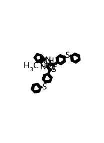 CC12CCC(c3nc4c(-c5ccc(Sc6ccccc6)cc5)sc(-c5ccc(Sc6ccccc6)cc5)c4nc31)C2(C)C